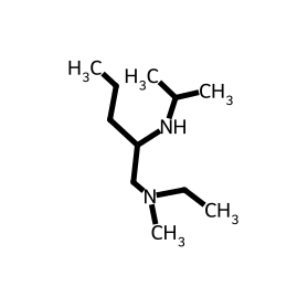 CCCC(CN(C)CC)NC(C)C